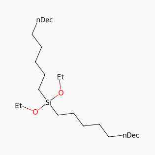 CCCCCCCCCCCCCCC[Si](CCCCCCCCCCCCCCC)(OCC)OCC